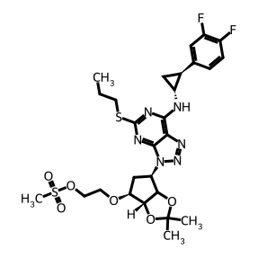 CCCSc1nc(N[C@@H]2C[C@H]2c2ccc(F)c(F)c2)c2nnn([C@@H]3C[C@H](OCCOS(C)(=O)=O)[C@H]4OC(C)(C)OC34)c2n1